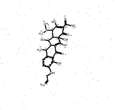 C=CCNc1ccc2c(c1O)C(=O)C1=C(O)C3(O)C(=O)C(C(N)=O)=C(O)C(N(C)C)C3C(O)C1C2C